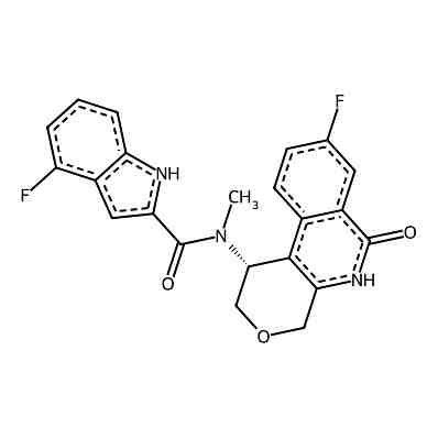 CN(C(=O)c1cc2c(F)cccc2[nH]1)[C@H]1COCc2[nH]c(=O)c3cc(F)ccc3c21